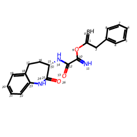 B=C(Cc1ccccc1)OC(=N)C(=O)N[C@H]1CCc2ccccc2NC1=O